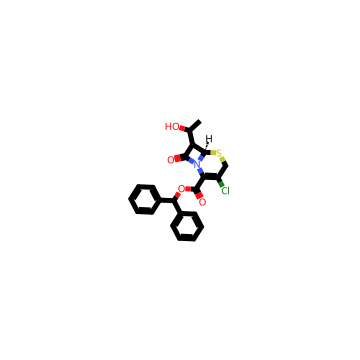 CC(O)C1C(=O)N2C(C(=O)OC(c3ccccc3)c3ccccc3)=C(Cl)CS[C@H]12